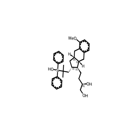 COc1cccc2c1C[C@H]1C[C@@H](CC(C)(C)[Si](O)(c3ccccc3)c3ccccc3)[C@H](CC[C@@H](O)CO)[C@H]1C2